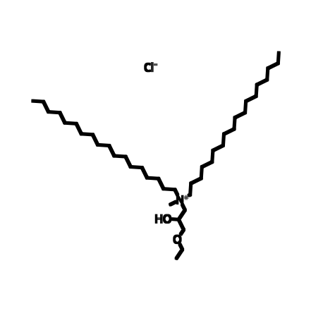 CCCCCCCCCCCCCCCCCC[N+](C)(CCCCCCCCCCCCCCCCCC)CC(O)COCC.[Cl-]